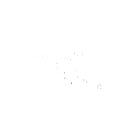 CCNn1cc(C(=O)O)c(=O)c2cc(F)c(N3CCNCC3)cc21